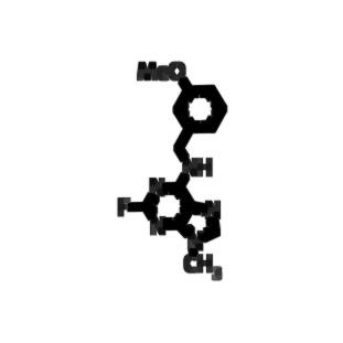 COc1cccc(CNc2nc(F)nc3c2ncn3C)c1